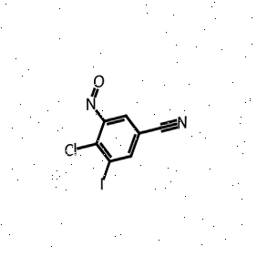 N#Cc1cc(I)c(Cl)c(N=O)c1